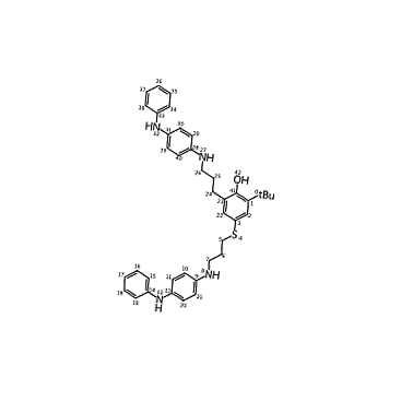 CC(C)(C)c1cc(SCCCNc2ccc(Nc3ccccc3)cc2)cc(CCCNc2ccc(Nc3ccccc3)cc2)c1O